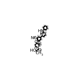 CC(O)C(=O)N1CCC(Oc2ccc(-c3ccnc(Nc4ccccc4)n3)cc2C#N)C(F)(F)C1